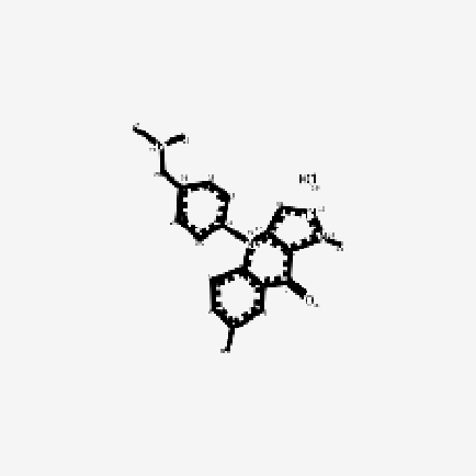 Cc1ccc2c(c1)c(=O)c1c(cnn1C)n2-c1ccc(CN(C)C)cc1.Cl